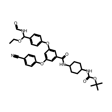 CCOC(NC=O)c1ccc(Oc2cc(Oc3ccc(C#N)cc3)cc(C(=O)NC3CCC(NC(=O)OC(C)(C)C)CC3)c2)cc1